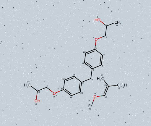 CC(O)COc1ccc(Cc2ccc(OCC(C)O)cc2)cc1.CCOC=C(C)C(=O)O